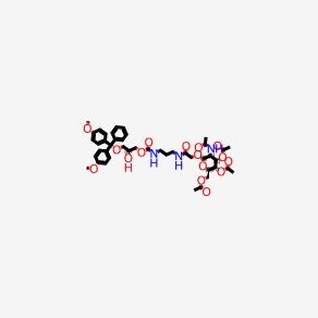 COc1ccc(C(OC[C@@H](O)COC(=O)NCCCNC(=O)CO[C@@H]2O[C@H](COC(C)=O)[C@H](OC(C)=O)[C@H](OC(C)=O)[C@H]2NC(C)=O)(c2ccccc2)c2ccc(OC)cc2)cc1